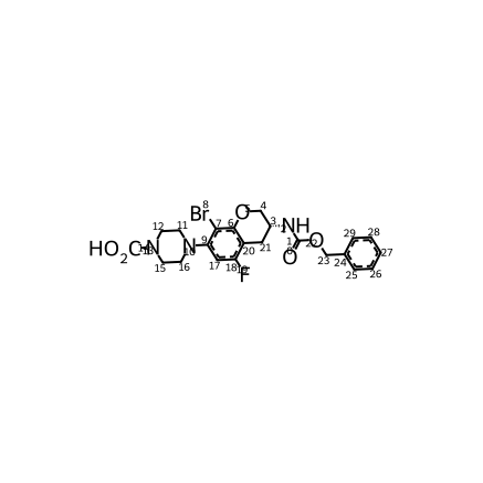 O=C(N[C@H]1COc2c(Br)c(N3CCN(C(=O)O)CC3)cc(F)c2C1)OCc1ccccc1